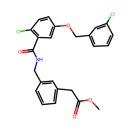 COC(=O)Cc1cccc(CNC(=O)c2cc(OCc3cccc(Cl)c3)ccc2Cl)c1